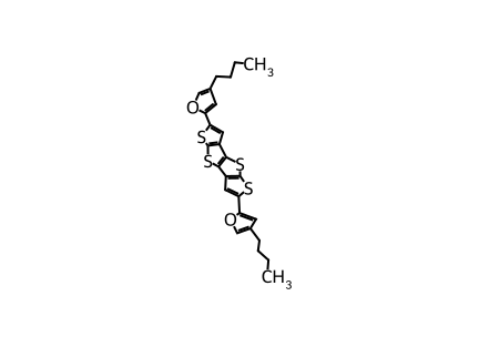 CCCCc1coc(-c2cc3c(s2)sc2c4cc(-c5cc(CCCC)co5)sc4sc32)c1